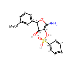 COc1cccc(C2OC(N)=C(OS(=O)(=O)c3ccccc3)C2=O)c1